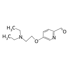 CCN(CC)CCOc1ccc(C=O)nc1